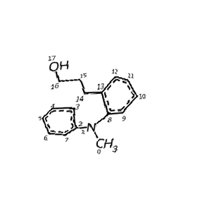 CN(c1ccccc1)c1ccccc1CCCO